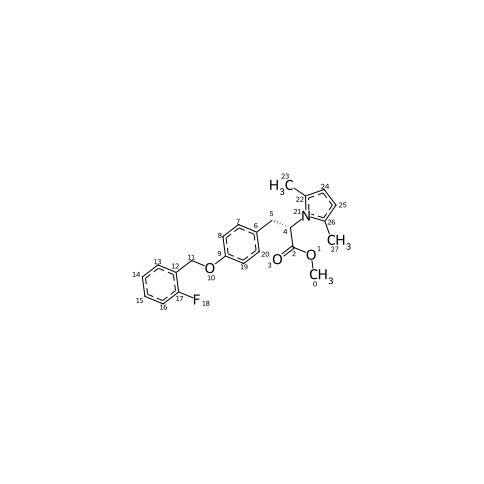 COC(=O)[C@H](Cc1ccc(OCc2ccccc2F)cc1)n1c(C)ccc1C